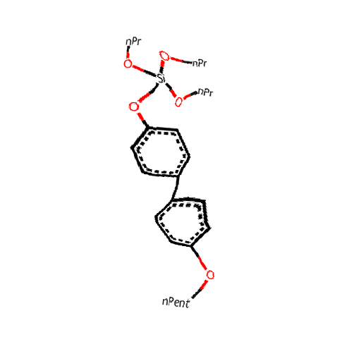 CCCCCOc1ccc(-c2ccc(O[Si](OCCC)(OCCC)OCCC)cc2)cc1